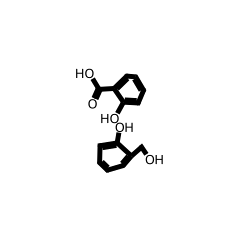 O=C(O)c1ccccc1O.OCc1ccccc1O